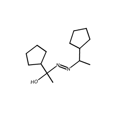 CC(/N=N/C(C)(O)C1CCCC1)C1CCCC1